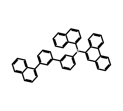 c1cc(-c2cccc(N(c3cccc4ccccc34)c3cc4ccccc4c4ccccc34)c2)cc(-c2cccc3ccccc23)c1